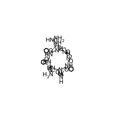 N=C(N)NCCC[C@@H]1NC(=O)[C@@H]2CCCN2C(=O)[C@H]2CCCN2C(=O)[C@H](Cc2ccccc2)NC(=O)[C@H](Cc2c[nH]cn2)NC(=O)[C@H](CC(N)=O)NC(=O)[C@H](Cc2ccccc2)NC(=O)[C@H](Cc2ccccc2)NC1=O